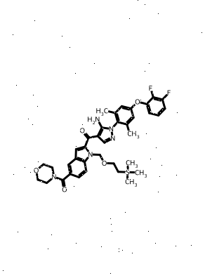 Cc1cc(Oc2cccc(F)c2F)cc(C)c1-n1ncc(C(=O)c2cc3cc(C(=O)N4CCOCC4)ccc3n2COCCS(C)(C)C)c1N